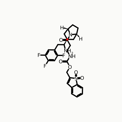 NC(Cc1cc(F)c(F)cc1F)[C@@H]1C[C@H]2CC[C@@H](C1)N2C(=O)CCNC(=O)OCC1=Cc2ccccc2S1(=O)=O